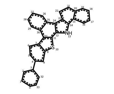 c1ccc(-c2ccc3c(c2)sc2c4[nH]c5c6ccccc6ccc5c4c4ccccc4c32)cc1